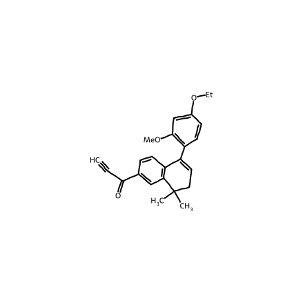 C#CC(=O)c1ccc2c(c1)C(C)(C)CC=C2c1ccc(OCC)cc1OC